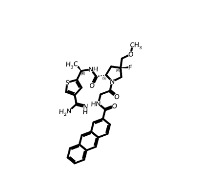 COC[C@@]1(F)C[C@@H](C(=O)N[C@H](C)c2cc(C(=N)N)cs2)N(C(=O)CNC(=O)c2ccc3cc4ccccc4cc3c2)C1